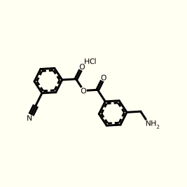 Cl.N#Cc1cccc(C(=O)OC(=O)c2cccc(CN)c2)c1